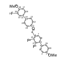 COc1ccc(-c2ccc(COc3ccc(-c4ccc(OC)c(F)c4)cc3)c(F)c2F)cc1